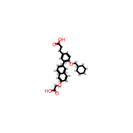 O=C(O)CCc1ccc(OCC2CCCCC2)c(-c2ccc3cc(OCC(=O)O)ccc3c2)c1